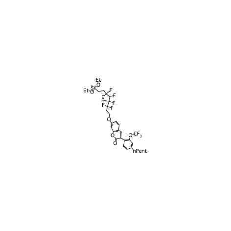 CCCCCc1ccc(-c2cc3ccc(OCCC(F)(F)C(F)(F)C(F)C(F)(F)CC[Si](C)(OCC)OCC)cc3oc2=O)c(OC(F)(F)F)c1